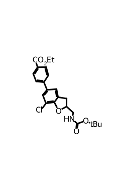 CCOC(=O)c1ccc(-c2cc(Cl)c3c(c2)CC(CNC(=O)OC(C)(C)C)O3)cc1